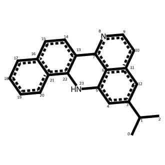 CC(C)c1cc2c3c(nccc3c1)-c1ccc3ccccc3c1N2